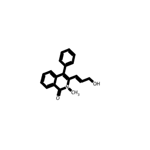 Cn1c(/C=C/CO)c(-c2ccccc2)c2ccccc2c1=O